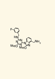 COc1nc(NCc2cccc(F)c2)nc(-n2c(OC)nc3c(CN)cccc32)n1